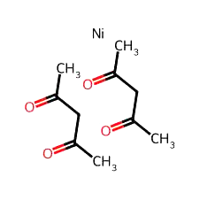 CC(=O)CC(C)=O.CC(=O)CC(C)=O.[Ni]